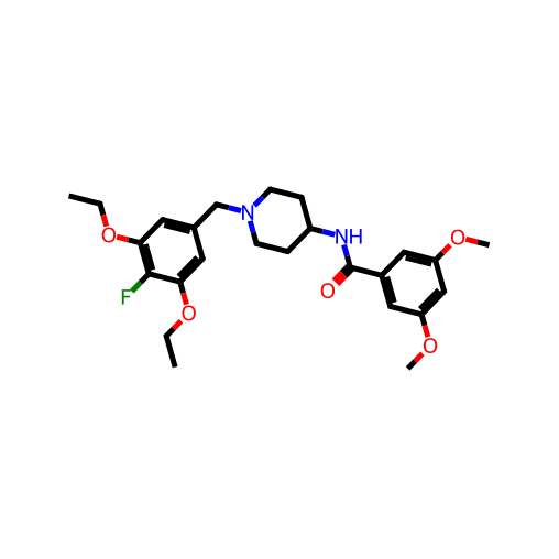 CCOc1cc(CN2CCC(NC(=O)c3cc(OC)cc(OC)c3)CC2)cc(OCC)c1F